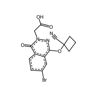 N#CC1(Oc2nn(CC(=O)O)c(=O)c3ccc(Br)cc23)CCC1